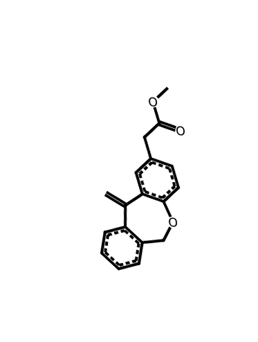 C=C1c2ccccc2COc2ccc(CC(=O)OC)cc21